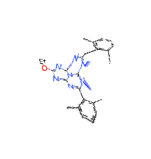 CCOC1=NC2=NC(c3c(C)cccc3C)=NC3=NC(c4c(C)cccc4C)=NC(=N1)N23